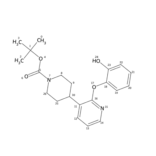 CC(C)(C)OC(=O)N1CCC(c2cccnc2Oc2ccccc2O)CC1